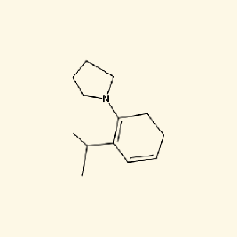 CC(C)C1=C(N2CCCC2)CCC=C1